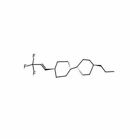 CCC[C@H]1CC[C@H]([C@H]2CC[C@H](C=CC(F)(F)F)CC2)CC1